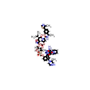 Cc1ncsc1-c1ccc([C@H](C)NC(=O)[C@@H]2C[C@@H](OC(=O)OC(C)C(C)(C)SS(=O)(=O)COc3ccccc3-c3cc(N4CC5CCC(C4)N5c4ccnc(CCCN5CCNC[C@H]5C)c4)c(N)nn3)CN2C(=O)[C@@H](c2cc(OCC=O)no2)C(C)C)cc1